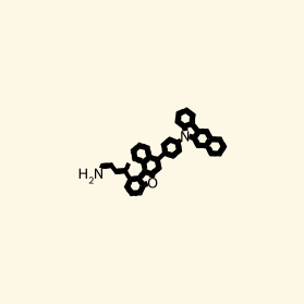 C/C(=C\C=C/N)c1cccc2oc3cc(-c4ccc(-n5c6ccccc6c6cc7ccccc7cc65)cc4)c4ccccc4c3c12